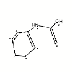 O=C(O)NC1=CCCC=C1